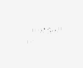 C=COC(C)=O.CCCCCCCCCCCCOC(=O)C=CC(=O)O